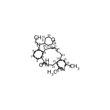 CCN(c1cccc2c1C/C=C/CCc1cc(C)nc(C)c1CNC2=O)C1CCOCC1